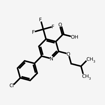 CC(C)COc1nc(-c2ccc(Cl)cc2)cc(C(F)(F)F)c1C(=O)O